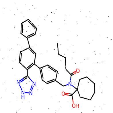 CCCCC(=O)N(Cc1ccc(-c2cc(-c3ccccc3)ccc2-c2nn[nH]n2)cc1)C1(C(=O)O)CCCCCC1